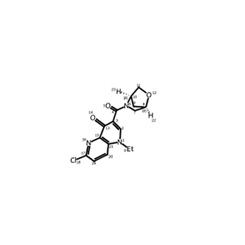 CCn1cc(C(=O)N2C[C@H]3C[C@@H]2CO3)c(=O)c2nc(Cl)ccc21